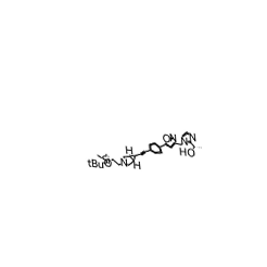 C[C@H](O)c1nccn1Cc1cc(-c2ccc(C#CC3[C@H]4CN(CCO[Si](C)(C)C(C)(C)C)C[C@@H]34)cc2)on1